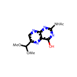 COC(OC)c1cnc2nc(NC(C)=O)nc(O)c2n1